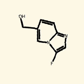 OCc1ccc2ncc(F)n2c1